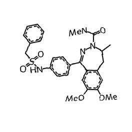 CNC(=O)N1N=C(c2ccc(NS(=O)(=O)Cc3ccccc3)cc2)c2cc(OC)c(OC)cc2CC1C